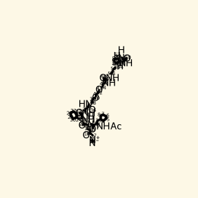 CC(=O)N[C@@H](Cc1ccccc1)C(=O)N[C@@H](CCC(=O)C=[N+]=[N-])C(=O)N[C@@H](Cc1ccccc1)C(=O)NCC(=O)NCCOCCOCCNC(=O)NCCCC[C@@H]1SC[C@@H]2NC(=O)N[C@@H]21